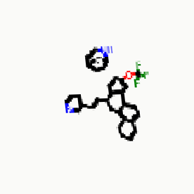 C1=CC2=CC=C(CC2)N1.FC(F)(F)Oc1ccc2c(c1)-c1ccc3c(c1CC2/C=C/c1cccnc1)CCC=C3